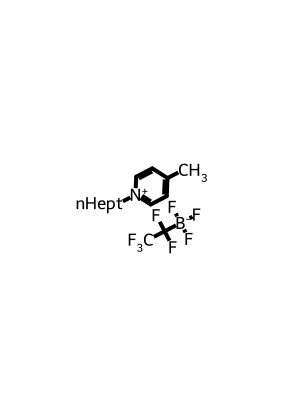 CCCCCCC[n+]1ccc(C)cc1.F[B-](F)(F)C(F)(F)C(F)(F)F